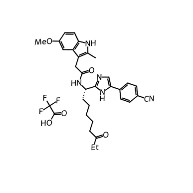 CCC(=O)CCCCC[C@H](NC(=O)Cc1c(C)[nH]c2ccc(OC)cc12)c1ncc(-c2ccc(C#N)cc2)[nH]1.O=C(O)C(F)(F)F